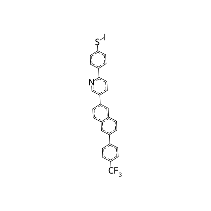 FC(F)(F)c1ccc(-c2ccc3cc(-c4ccc(-c5ccc(SI)cc5)nc4)ccc3c2)cc1